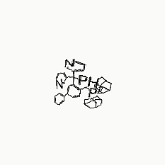 PC(c1cccnc1)(c1cccnc1)c1cc(-c2ccccc2)ccc1CP(C12CC3CC(CC(C3)C1)C2)C12CC3CC(CC(C3)C1)C2